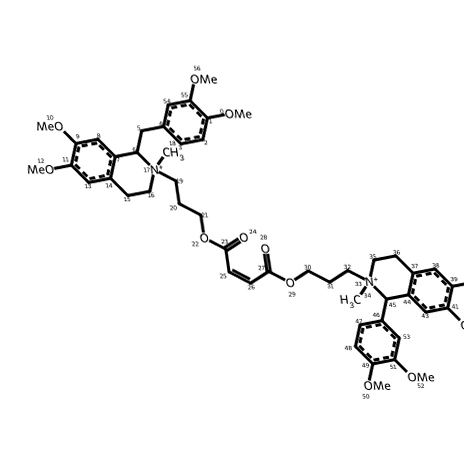 COc1ccc(CC2c3cc(OC)c(OC)cc3CC[N+]2(C)CCCOC(=O)/C=C\C(=O)OCCC[N+]2(C)CCc3cc(OC)c(OC)cc3C2c2ccc(OC)c(OC)c2)cc1OC